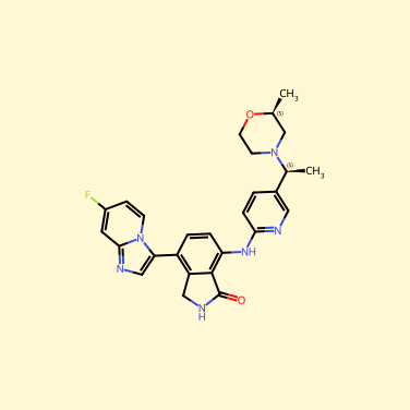 C[C@H]1CN([C@@H](C)c2ccc(Nc3ccc(-c4cnc5cc(F)ccn45)c4c3C(=O)NC4)nc2)CCO1